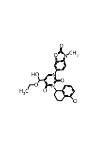 CCOC(O)c1cn(-c2ccc3c(c2)oc(=O)n3C)c(=O)n(C2CCCc3c(Cl)cccc32)c1=O